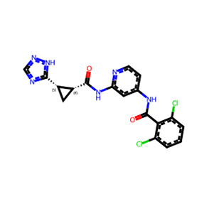 O=C(Nc1ccnc(NC(=O)[C@@H]2C[C@@H]2c2ncn[nH]2)c1)c1c(Cl)cccc1Cl